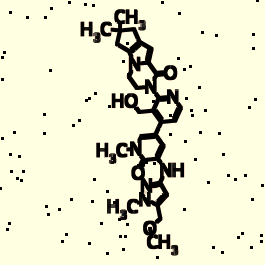 COCc1cc(Nc2cc(-c3ccnc(N4CCn5c(cc6c5CC(C)(C)C6)C4=O)c3CO)cn(C)c2=O)nn1C